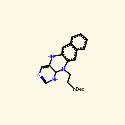 CCCCCCCCCCCCN1c2cc3ccccc3cc2NC2=CN=CNC21